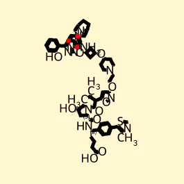 Cc1ncsc1-c1ccc([C@H](CCCC(=O)O)NC(=O)[C@@H]2C[C@@H](O)CN2C(=O)C(c2cc(OCCN3CCC(O[C@H]4C[C@H](Oc5cc(N6C7CCC6CN(c6cc(-c8ccccc8O)nnc6N)C7)ccn5)C4)CC3)no2)C(C)C)cc1